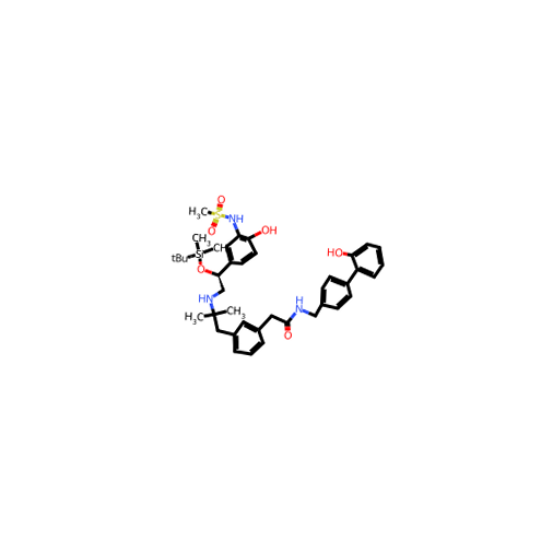 CC(C)(Cc1cccc(CC(=O)NCc2ccc(-c3ccccc3O)cc2)c1)NC[C@@H](O[Si](C)(C)C(C)(C)C)c1ccc(O)c(NS(C)(=O)=O)c1